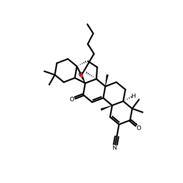 CCCCC1O[C@]23C(=O)C=C4[C@@]5(C)C=C(C#N)C(=O)C(C)(C)[C@@H]5CC[C@@]4(C)[C@]2(C)CC[C@]12CCC(C)(C)CC23